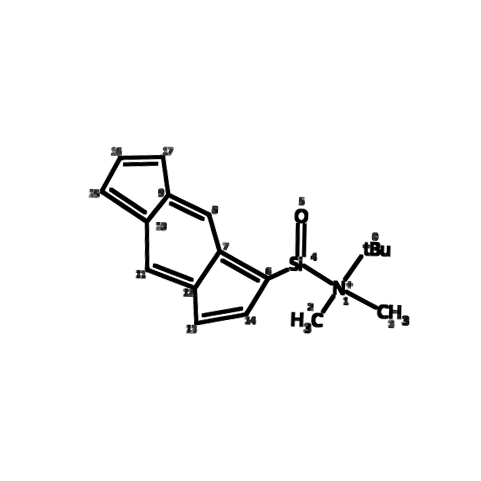 CC(C)(C)[N+](C)(C)[Si](=O)C1=c2cc3c(cc2C=C1)=CC=C3